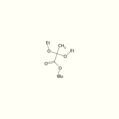 CCOC(C)(OCC)C(=O)OC(C)(C)C